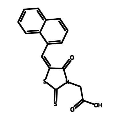 O=C(O)CN1C(=O)C(=Cc2cccc3ccccc23)SC1=S